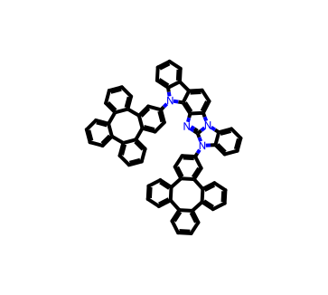 c1ccc2c(c1)-c1ccccc1-c1ccc(-n3c4ccccc4c4ccc5c(nc6n(-c7ccc8c(c7)-c7ccccc7-c7ccccc7-c7ccccc7-8)c7ccccc7n56)c43)cc1-c1ccccc1-2